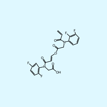 C=CC(=O)N(CC(=O)O/C=C/C(=O)N(CC(=O)O)c1cc(F)ccc1F)c1cccc(F)c1F